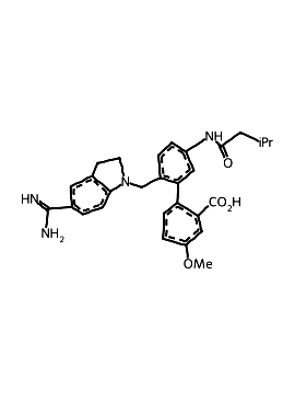 COc1ccc(-c2cc(NC(=O)CC(C)C)ccc2CN2CCc3cc(C(=N)N)ccc32)c(C(=O)O)c1